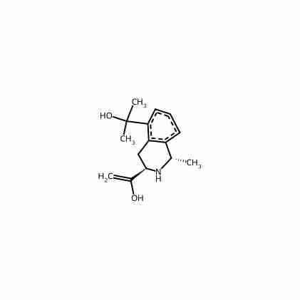 C=C(O)[C@H]1Cc2c(cccc2C(C)(C)O)[C@H](C)N1